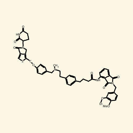 CCOc1cc(CN2C(=O)c3cccc(NC(=O)CCCc4ccc(CCN(C)Cc5ccc(OCc6scc7c6CN(C6CCC(=O)NC6=O)C7=O)cc5)cc4)c3C2=O)ccc1OC